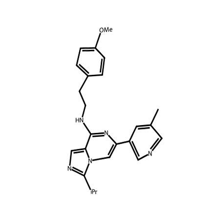 COc1ccc(CCNc2nc(-c3cncc(C)c3)cn3c(C(C)C)ncc23)cc1